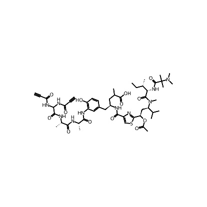 C#CC(=O)NC(NC(=O)C#C)C(=O)N[C@@H](C)C(=O)N[C@@H](C)C(=O)Nc1cc(C[C@@H](CC(C)C(=O)O)NC(=O)c2csc([C@@H](C[C@H](C(C)C)N(C)C(=O)[C@@H](NC(=O)C(C)(C)N(C)C)[C@@H](C)CC)OC(C)=O)n2)ccc1O